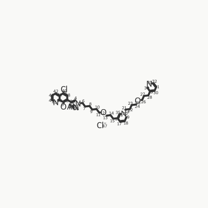 CC(=O)Oc1c(-c2cn(CCCCCCOCCCc3ccc[n+](CCCCOCCCc4cccnc4)c3)nn2)cc(Cl)c2cccnc12.[Cl-]